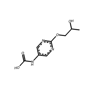 CC(O)COc1ncc(NC(=O)O)cn1